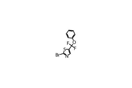 FC(F)(Oc1ccccc1)c1cnc(Br)s1